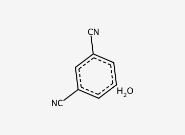 N#Cc1cccc(C#N)c1.O